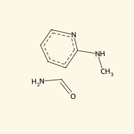 CNc1ccccn1.NC=O